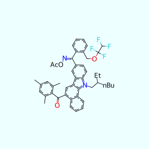 CCCCC(CC)Cn1c2ccc(/C(=N\OC(C)=O)c3ccccc3COC(F)(F)C(F)F)cc2c2cc(C(=O)c3c(C)cc(C)cc3C)c3ccccc3c21